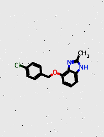 Cc1nc2c(OCc3ccc(Cl)cc3)cccc2[nH]1